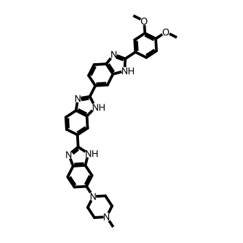 COc1ccc(-c2nc3ccc(-c4nc5ccc(-c6nc7ccc(N8CCN(C)CC8)cc7[nH]6)cc5[nH]4)cc3[nH]2)cc1OC